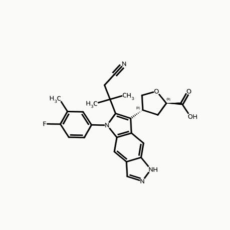 Cc1cc(-n2c(C(C)(C)CC#N)c([C@@H]3CO[C@@H](C(=O)O)C3)c3cc4[nH]ncc4cc32)ccc1F